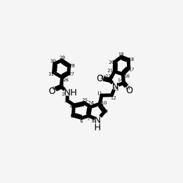 O=C(NCc1ccc2[nH]cc(CCN3C(=O)c4ccccc4C3=O)c2c1)c1ccccc1